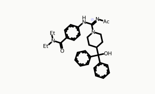 CCN(CC)C(=O)c1ccc(N/C(=N/C(C)=O)N2CCC(C(O)(c3ccccc3)c3ccccc3)CC2)cc1